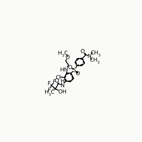 COCCNc1c(S(=O)(=O)c2ccc(C(=O)N(C)C)cc2)ccc(NC(=O)[C@@](C)(O)C(F)(F)F)c1Cl